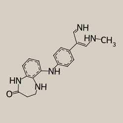 CN/C=C(\C=N)c1ccc(Nc2cccc3c2NCCC(=O)N3)cc1